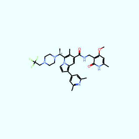 COc1cc(C)[nH]c(=O)c1CNC(=O)c1cc2c(-c3cc(C)nc(C)c3)ccn2c([C@H](C)N2CCN(CC(F)(F)F)CC2)c1C